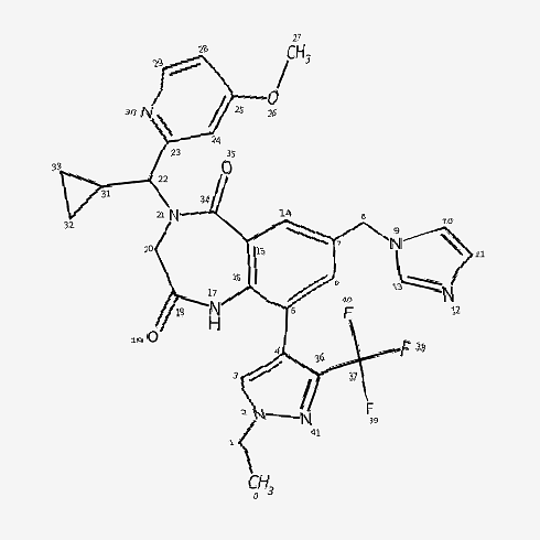 CCn1cc(-c2cc(Cn3ccnc3)cc3c2NC(=O)CN(C(c2cc(OC)ccn2)C2CC2)C3=O)c(C(F)(F)F)n1